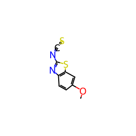 COc1ccc2nc(N=C=S)sc2c1